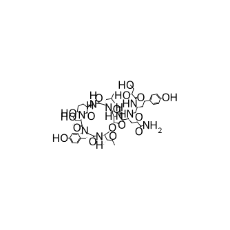 CC[C@H](C)[C@@H]1NC(=O)[C@H](Cc2ccc(O)cc2)N(C)C(=O)[C@H]([C@H](C)O)N2C(=O)[C@H](CC[C@H]2O)NC(=O)[C@H](CC(C)C)NC(=O)[C@@H](NC(=O)[C@H](CCC(N)=O)NC(=O)[C@H](CCc2ccc(O)cc2)NC(=O)[C@H](O)CO)[C@@H](C)OC1=O